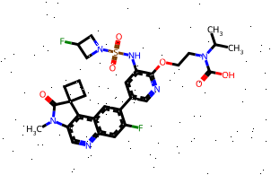 CC(C)N(CCOc1ncc(-c2cc3c4c(cnc3cc2F)N(C)C(=O)C42CCC2)cc1NS(=O)(=O)N1CC(F)C1)C(=O)O